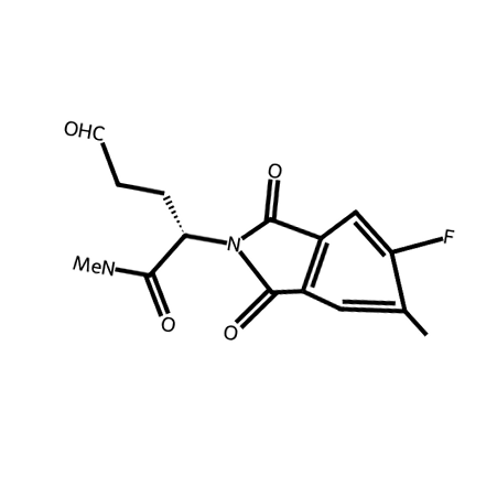 CNC(=O)[C@H](CCC=O)N1C(=O)c2cc(C)c(F)cc2C1=O